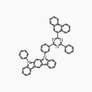 c1ccc(-c2nc(-c3cccc(-n4c5ccccc5c5cc6c7ccccc7n(-c7ccccc7)c6cc54)c3)nc(-c3cc4ccccc4c4ccccc34)n2)cc1